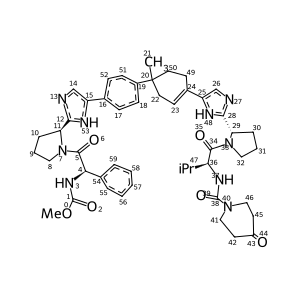 COC(=O)N[C@@H](C(=O)N1CCC[C@H]1c1ncc(-c2ccc(C3(C)CC=C(c4cnc([C@@H]5CCCN5C(=O)[C@@H](NC(=O)N5CCC(=O)CC5)C(C)C)[nH]4)CC3)cc2)[nH]1)c1ccccc1